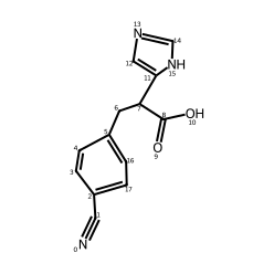 N#Cc1ccc(CC(C(=O)O)c2cnc[nH]2)cc1